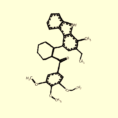 CCc1cc(C2CCCCC2C(=O)c2cc(OC)c(OC)c(OC)c2)c2c([nH]c3ccccc32)c1C